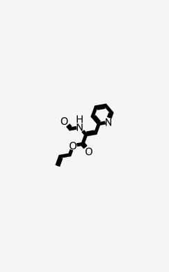 C=CCOC(=O)C(=Cc1ccccn1)NC=O